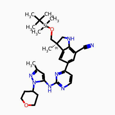 Cc1cc(Nc2nccc(-c3cc(C#N)c4c(c3)[C@@](C)(CO[Si](C)(C)C(C)(C)C)CN4)n2)n(C2CCOCC2)n1